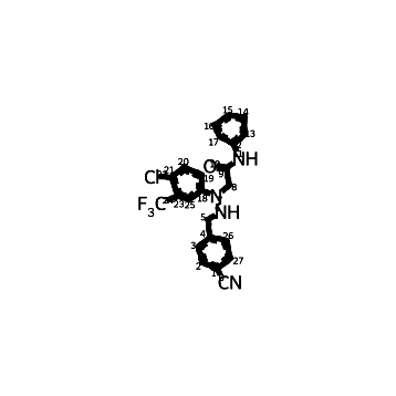 N#Cc1ccc(CNN(CC(=O)Nc2ccccc2)c2ccc(Cl)c(C(F)(F)F)c2)cc1